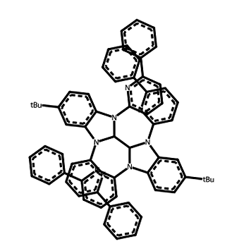 CC(C)(C)c1ccc2c(c1)N(c1cccc(-c3ccccc3)n1)C(C1N(c3cccc(-c4ccccc4)n3)c3ccc(C(C)(C)C)cc3N1c1cccc(-c3ccccc3)n1)N2c1cccc(-c2ccccc2)n1